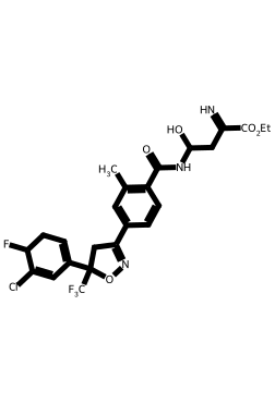 CCOC(=O)C(=N)CC(O)NC(=O)c1ccc(C2=NOC(C3=CCC(F)C(Cl)=C3)(C(F)(F)F)C2)cc1C